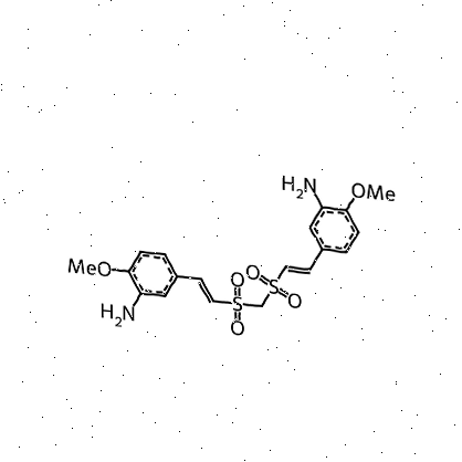 COc1ccc(/C=C/S(=O)(=O)CS(=O)(=O)/C=C/c2ccc(OC)c(N)c2)cc1N